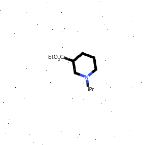 CCOC(=O)C1CCCN(C(C)C)C1